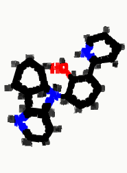 Oc1c(-c2ccccn2)cccc1-n1c2ccccc2c2ncccc21